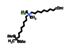 CCCCCCCCCCCCCCCCCC[N+](C)(C)CCCCCCCC[Si](C)(OC)OC.[Cl-]